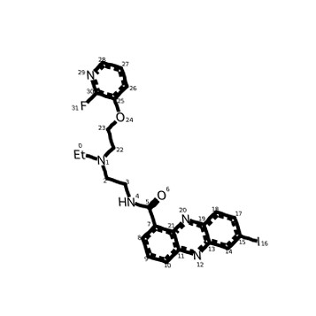 CCN(CCNC(=O)c1cccc2nc3cc(I)ccc3nc12)CCOc1cccnc1F